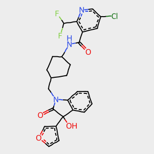 O=C(NC1CCC(CN2C(=O)C(O)(c3ccoc3)c3ccccc32)CC1)c1cc(Cl)cnc1C(F)F